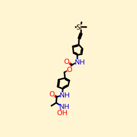 CC(NO)C(=O)Nc1ccc(COC(=O)Nc2ccc(C#C[Si](C)(C)C)cc2)cc1